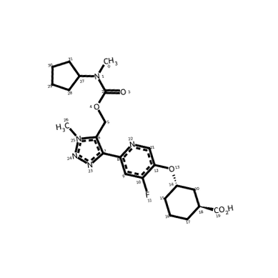 CN(C(=O)OCc1c(-c2cc(F)c(O[C@H]3CCC[C@H](C(=O)O)C3)cn2)nnn1C)C1CCCC1